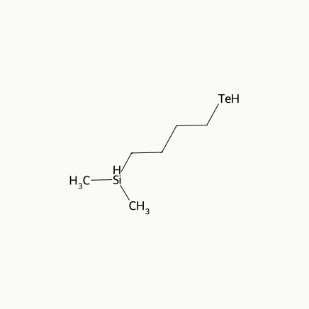 C[SiH](C)CCCC[TeH]